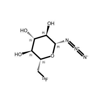 [N-]=[N+]=N[C@@H]1O[C@H](C[18F])[C@@H](O)[C@H](O)[C@H]1O